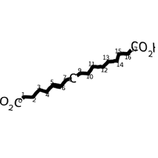 O=C(O)CCCCC=CCCCCCCCCCCC(=O)O